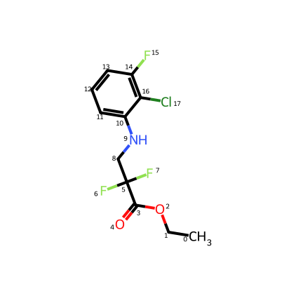 CCOC(=O)C(F)(F)CNc1cccc(F)c1Cl